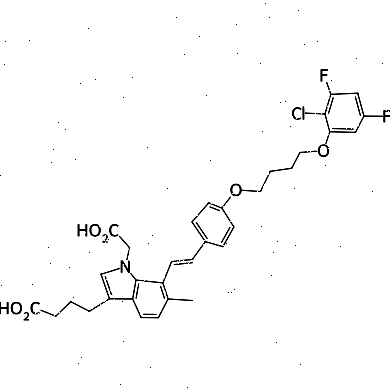 Cc1ccc2c(CCCC(=O)O)cn(CC(=O)O)c2c1/C=C/c1ccc(OCCCCOc2cc(F)cc(F)c2Cl)cc1